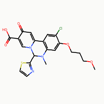 COCCCOc1cc2c(cc1Cl)-c1cc(=O)c(C(=O)O)cn1C(c1nccs1)N2C